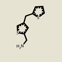 NCc1cc(Cc2cccs2)cs1